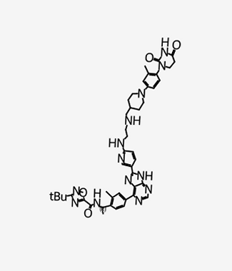 Cc1cc(-c2ncnc3[nH]c(-c4ccc(NCCNCC5CCN(c6ccc(N7CCC(=O)NC7=O)c(C)c6)CC5)nc4)nc23)ccc1[C@@H](C)NC(=O)c1nc(C(C)(C)C)no1